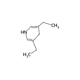 CCC1=CNC=C(CC)C1